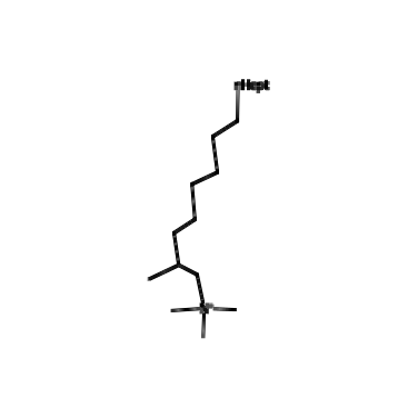 CCCCCCCCCCCCCC(C)C[N+](C)(C)C